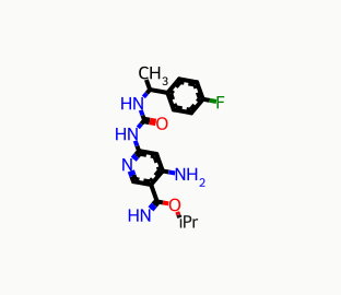 CC(C)OC(=N)c1cnc(NC(=O)NC(C)c2ccc(F)cc2)cc1N